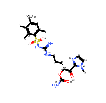 COc1cc(C)c(S(=O)(=O)NC(=N)NCCC[C@@H](OC(N)=O)C(=O)c2nccn2C)c(C)c1C